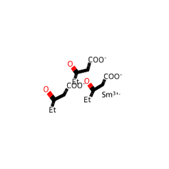 CCC(=O)CC(=O)[O-].CCC(=O)CC(=O)[O-].CCC(=O)CC(=O)[O-].[Sm+3]